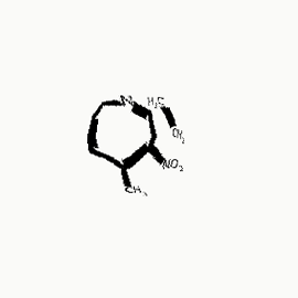 C=C.Cc1ccncc1[N+](=O)[O-]